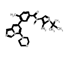 Cc1ccc(C(=O)N(I)c2cnn(C(C)(C)C)c2P)cc1-c1cc(N2CCOCC2)n2cncc2c1